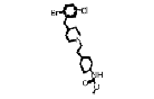 COC(=O)NC1CCC(CCN2CCC(Cc3cc(Cl)ccc3Br)CC2)CC1